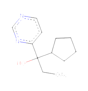 CC(=O)OCC(O)(c1ccncn1)C1CCCC1